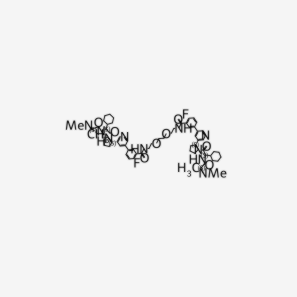 CN[C@@H](C)C(=O)N[C@H](C(=O)N1CCC[C@H]1c1cncc(-c2ccc(F)c(C(=O)NCCOCCOCCNC(=O)c3cc(-c4cncc([C@@H]5CCCN5C(=O)[C@@H](NC(=O)[C@H](C)NC)C5CCCCC5)c4)ccc3F)c2)c1)C1CCCCC1